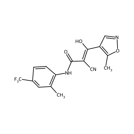 Cc1cc(C(F)(F)F)ccc1NC(=O)/C(C#N)=C(\O)c1cnoc1C